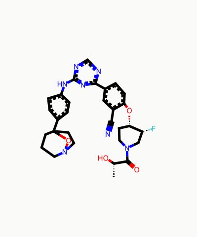 C[C@H](O)C(=O)N1CC[C@H](Oc2ccc(-c3ncnc(Nc4ccc(C56CCCN(CC5)O6)cc4)n3)cc2C#N)[C@H](F)C1